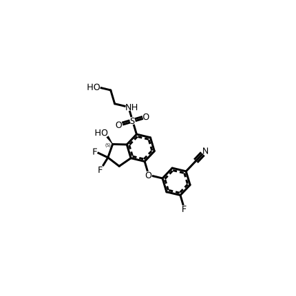 N#Cc1cc(F)cc(Oc2ccc(S(=O)(=O)NCCO)c3c2CC(F)(F)[C@H]3O)c1